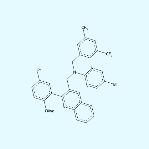 COc1ccc(C(C)C)cc1-c1nc2ccccc2cc1CN(Cc1cc(C(F)(F)F)cc(C(F)(F)F)c1)c1ncc(Br)cn1